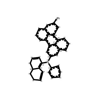 CC(C)c1cc2cccc3c4cc(N(C5=C6C=CCCC6CC=C5)c5ccccc5)cc5cccc(c(c1)c23)c54